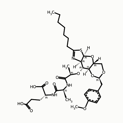 CCCCCCCC1=N[C@@H]2[C@@H](O[C@H](C)C(=O)N[C@@H](C)C(=O)N[C@H](CCC(=O)O)C(=O)O)[C@@H]3O[C@H](Cc4ccc(OC)cc4)OC[C@H]3O[C@@H]2S1